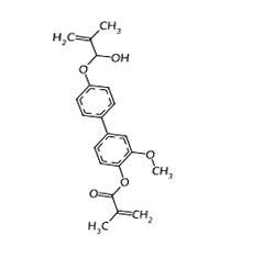 C=C(C)C(=O)Oc1ccc(-c2ccc(OC(O)C(=C)C)cc2)cc1OC